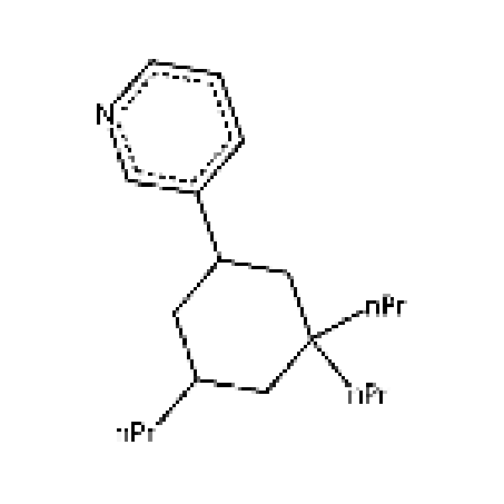 CCCC1CC(c2cccnc2)CC(CCC)(CCC)C1